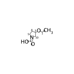 CCOC1CCN(C(=O)O)C1